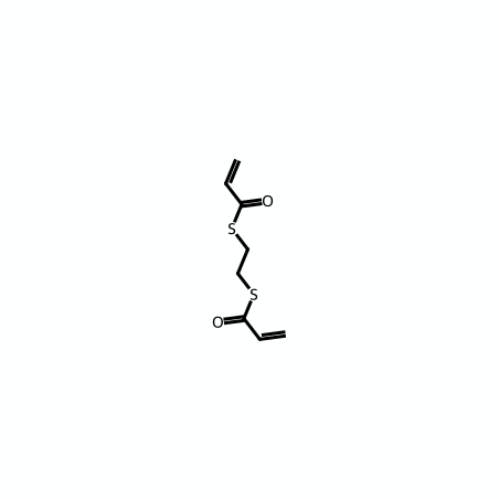 C=CC(=O)SCCSC(=O)C=C